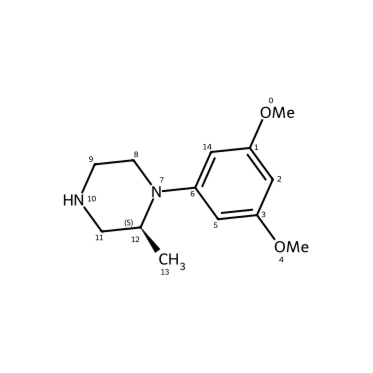 COc1cc(OC)cc(N2CCNC[C@@H]2C)c1